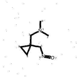 CN(C)CC1(CN=O)CC1